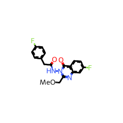 COCc1nc2cc(F)ccc2c(=O)n1NC(=O)Cc1ccc(F)cc1